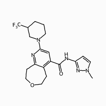 Cn1ccc(NC(=O)c2cc(N3CCCC(C(F)(F)F)C3)nc3c2CCOCC3)n1